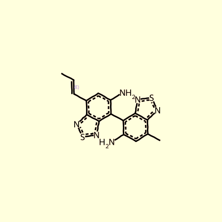 C/C=C/c1cc(N)c(-c2c(N)cc(C)c3nsnc23)c2nsnc12